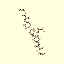 C=C(COC)C(=O)Oc1ccc(-c2ccc(-c3ccc(OC(=O)C(=C)COC)cc3)c(O/C=C\C)c2)cc1